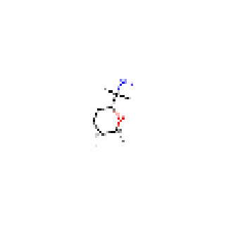 C[C@@H]1CCC(C(C)(C)N)O[C@@H]1C